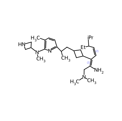 CCC(/C=C\C(=C(/N)CN(C)C)C1CC(CC(C)c2ccc(C)c(N(C)C3CNC3)n2)C1)C(C)C